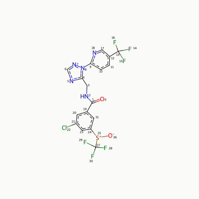 O=C(NCc1ncnn1-c1ccc(C(F)(F)F)cn1)c1cc(Cl)cc([S+]([O-])C(F)(F)F)c1